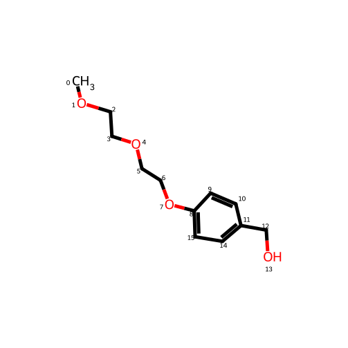 COCCOCCOc1ccc(CO)cc1